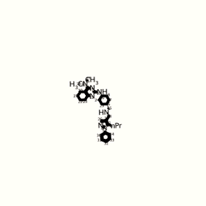 CCCc1c(CNC[C@H]2CC[C@@H](Nc3nc4c(c(N(C)C)n3)CCCC4)CC2)cnn1-c1ccccc1